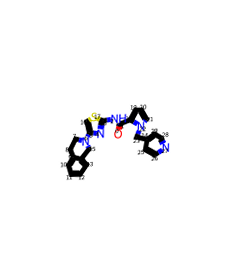 O=C(Nc1nc(N2CCc3ccccc3C2)cs1)c1cccn1Cc1ccncc1